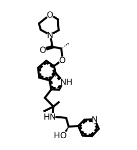 C[C@H](Oc1cccc2c(CC(C)(C)NC[C@H](O)c3cccnc3)c[nH]c12)C(=O)N1CCOCC1